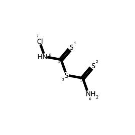 NC(=S)SC(=S)NCl